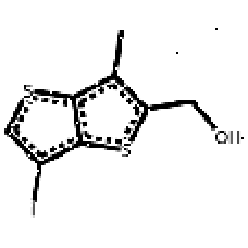 Cc1c(CO)sc2c(I)csc12